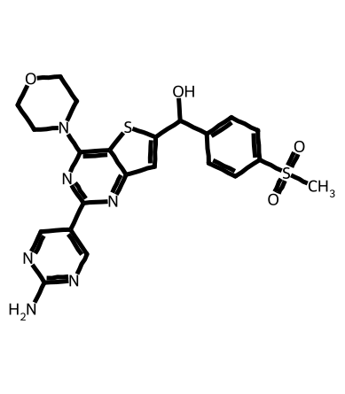 CS(=O)(=O)c1ccc(C(O)c2cc3nc(-c4cnc(N)nc4)nc(N4CCOCC4)c3s2)cc1